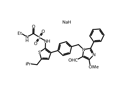 CCNC(=O)S(=O)(=O)Nc1sc(CC(C)C)cc1-c1ccc(Cn2c(-c3ccccc3)nc(OC)c2C=O)cc1.[NaH]